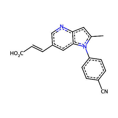 Cc1cc2ncc(/C=C/C(=O)O)cc2n1-c1ccc(C#N)cc1